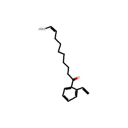 C=Cc1ccccc1C(=O)CCCCCCC/C=C\CCCCCCCC